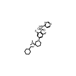 CN(C)[C@]1(CCC2CCCCC2)CCCN(c2cc(F)c(S(=O)(=O)Nc3ccncn3)c(F)c2)C1